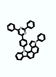 c1ccc(-c2cc(-c3ccc(-n4c5ccccc5c5ccc6ccc7c(ccn7-c7ccccc7)c6c54)cc3)nc(-c3ccccc3)n2)cc1